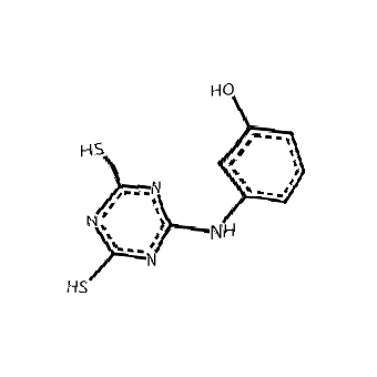 Oc1cccc(Nc2nc(S)nc(S)n2)c1